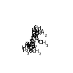 CCCCc1nc(C(CCC)(OC)OC)nn1Cc1ccc(-n2ccc(C(C)(C)C)c2-c2nnn[nH]2)cc1